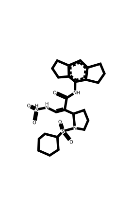 O=C(Nc1c2c(cc3c1CCC3)CCC2)C(=CN[SH](=O)=O)C1CCCN1S(=O)(=O)C1CCCCC1